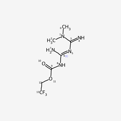 CN(C)C(=N)/N=C(\N)NC(=O)OCC(F)(F)F